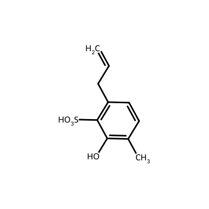 C=CCc1ccc(C)c(O)c1S(=O)(=O)O